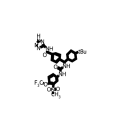 CC(C)(C)C1CCC(C(NC(=O)Nc2ccc(OC(F)(F)F)c(S(C)(=O)=O)c2)c2ccc(C(=O)Nc3nn[nH]n3)cc2)CC1